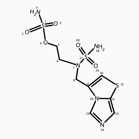 NS(=O)(=O)OCCN(Cc1csc2cncn12)S(N)(=O)=O